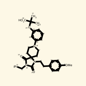 COc1ccc(CCN2C(=O)N(CC(C)C)C(=O)C23CCN(c2cccc(OC(C)(C)C(=O)O)c2)CC3)cc1